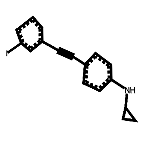 Ic1cccc(C#Cc2ccc(NC3CC3)cc2)c1